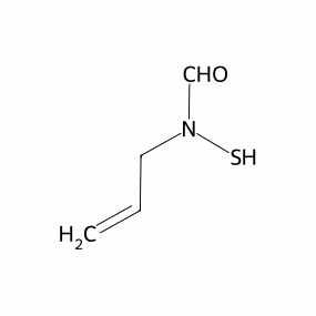 C=CCN(S)C=O